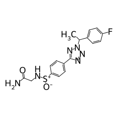 CC(c1ccc(F)cc1)n1nnc(-c2ccc([S+]([O-])NCC(N)=O)cc2)n1